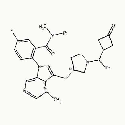 Cc1cncc2c1c(C[C@@H]1CCN(C(C(C)C)C3CC(=O)C3)C1)cn2-c1ccc(F)cc1C(=O)N(C)C(C)C